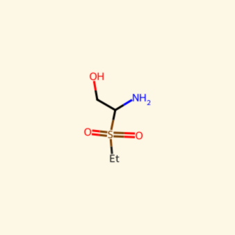 CCS(=O)(=O)C(N)CO